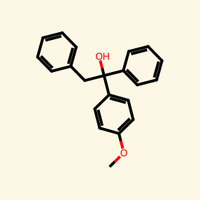 COc1ccc(C(O)(Cc2ccccc2)c2ccccc2)cc1